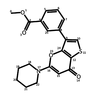 COC(=O)c1cccc(-c2csc3c(=O)cc(N4CCCCC4)oc23)c1